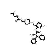 N[C@H](C(=O)Nc1cc(F)ccc1CC[C@@H]1CN[C@H](COC(=O)NCC(F)F)CO1)C(c1ccccc1)c1ccccc1